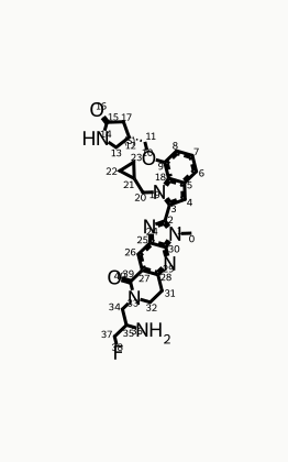 Cn1c(-c2cc3cccc(OC[C@@H]4CNC(=O)C4)c3n2CC2CC2)nc2cc3c(nc21)CCN(CC(N)CF)C3=O